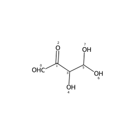 O=CC(=O)C(O)C(O)O